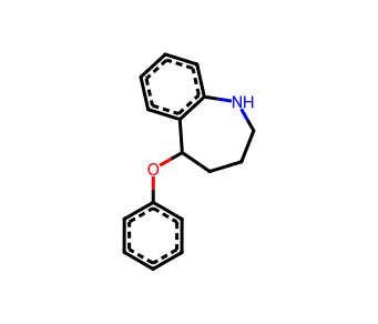 c1ccc(OC2CCCNc3ccccc32)cc1